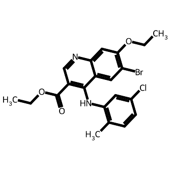 CCOC(=O)c1cnc2cc(OCC)c(Br)cc2c1Nc1cc(Cl)ccc1C